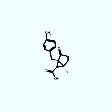 Cc1ccc(C[C@@]23C(=O)CC[C@H]2[C@H]3C(=O)O)cc1